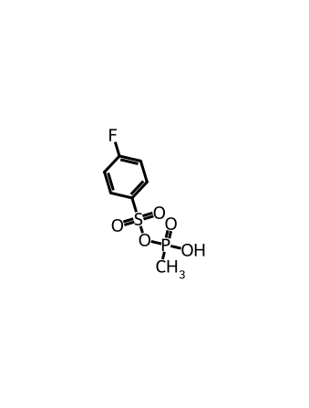 CP(=O)(O)OS(=O)(=O)c1ccc(F)cc1